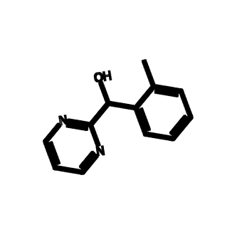 Cc1ccccc1C(O)c1ncccn1